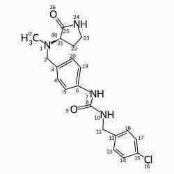 CN(Cc1ccc(NC(=O)NCc2ccc(Cl)cc2)cc1)[C@@H]1CCNC1=O